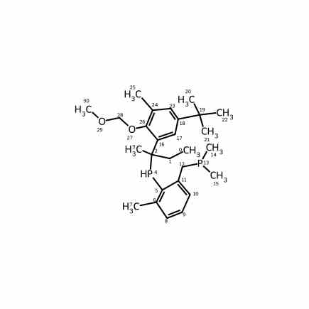 CCC(C)(Pc1c(C)cccc1CP(C)C)c1cc(C(C)(C)C)cc(C)c1OCOC